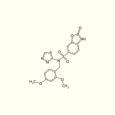 COc1ccc(CN(c2nncs2)S(=O)(=O)c2ccc3[nH]c(=O)oc3c2)c(OC)c1